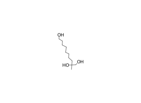 CC(O)(CO)CCCCCCCCO